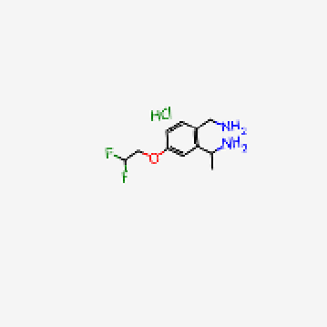 CC(N)c1cc(OCC(F)F)ccc1CN.Cl